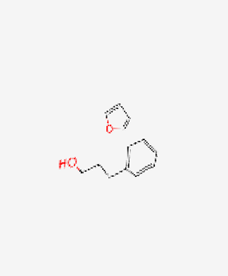 OCCCc1ccccc1.c1ccoc1